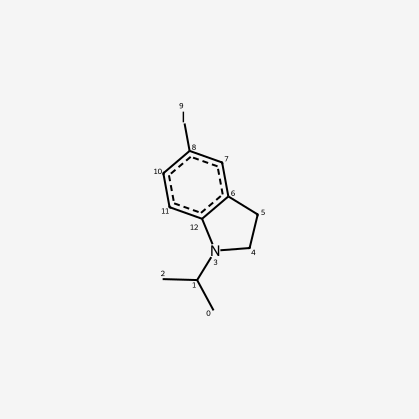 CC(C)N1CCc2cc(I)ccc21